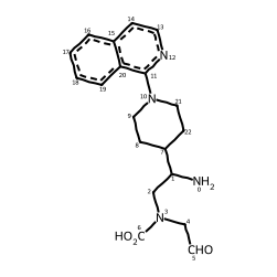 NC(CN(CC=O)C(=O)O)C1CCN(c2nccc3ccccc23)CC1